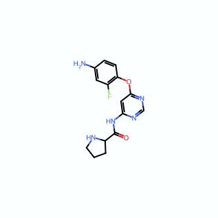 Nc1ccc(Oc2cc(NC(=O)C3CCCN3)ncn2)c(F)c1